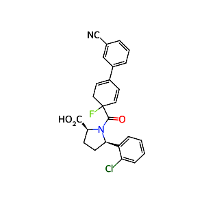 N#Cc1cccc(C2=CCC(F)(C(=O)N3[C@@H](c4ccccc4Cl)CC[C@H]3C(=O)O)C=C2)c1